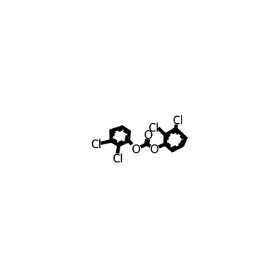 O=C(Oc1cccc(Cl)c1Cl)Oc1cccc(Cl)c1Cl